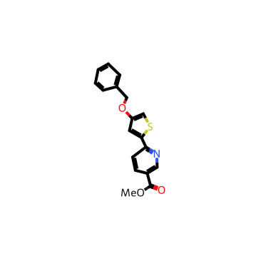 COC(=O)c1ccc(-c2cc(OCc3ccccc3)cs2)nc1